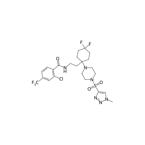 Cn1cc(S(=O)(=O)N2CCN(C3(CCNC(=O)c4ccc(C(F)(F)F)cc4Cl)CCC(F)(F)CC3)CC2)nn1